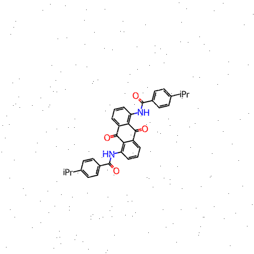 CC(C)c1ccc(C(=O)Nc2cccc3c2C(=O)c2cccc(NC(=O)c4ccc(C(C)C)cc4)c2C3=O)cc1